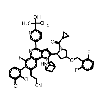 CC(C)(O)c1ccc(-c2nc3c(F)c(-c4cccc(Cl)c4Cl)c(CCC#N)cc3c3c2cc(C2CC(OCc4c(F)cccc4F)CN2C(=O)C2CC2)n3C2C3CNC2C3)cn1